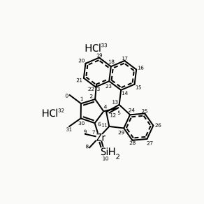 CC1=C(C)C(C)[C]([Zr]([CH3])([CH3])(=[SiH2])[CH]2C=C(c3cccc4ccccc34)c3ccccc32)=C1C.Cl.Cl